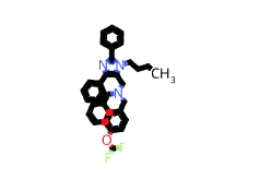 CCCCn1c(-c2ccccc2)nc(-c2ccccc2)c1CN(Cc1ccc(OC(F)F)cc1)CC1CC=CCC1